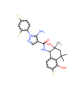 CC1(C)CC(O)(C(F)(F)F)C(NC(=O)c2cnn(-c3ccc(F)cc3F)c2N)c2ccc(F)c(O)c21